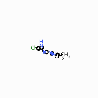 C=C(/C=C\C=C/C)N1CCN(C2CCN(CC3=CCNc4cc(Cl)ccc43)CC2)CC1